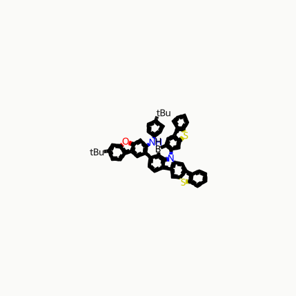 CC(C)(C)c1ccc(Nc2cc3oc4cc(C(C)(C)C)ccc4c3cc2-c2ccc3c4cc5sc6ccccc6c5cc4n4c3c2Bc2cc3c(cc2-4)sc2ccccc23)cc1